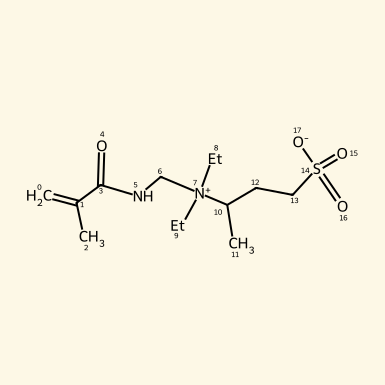 C=C(C)C(=O)NC[N+](CC)(CC)C(C)CCS(=O)(=O)[O-]